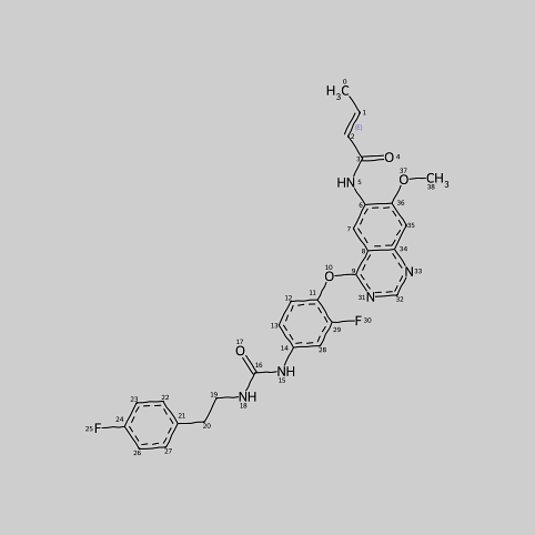 C/C=C/C(=O)Nc1cc2c(Oc3ccc(NC(=O)NCCc4ccc(F)cc4)cc3F)ncnc2cc1OC